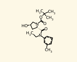 CCN(C(=O)[C@@H]1C[C@@H](O)CN1C(=O)OC(C)(C)C)c1cccc(C)c1